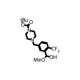 COC(O)c1cc(CN2CCN(C(=O)OC(C)(C)C)CC2)ccc1C(F)(F)F